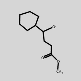 COC(=O)CCC([O])C1CCCCC1